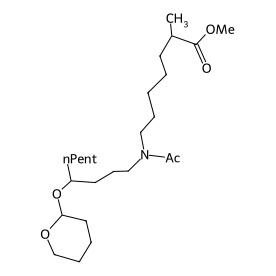 CCCCCC(CCCN(CCCCCC(C)C(=O)OC)C(C)=O)OC1CCCCO1